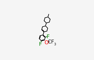 CC1CCC(C2CC=C(c3ccc(F)c(OC(F)(F)F)c3F)CC2)CC1